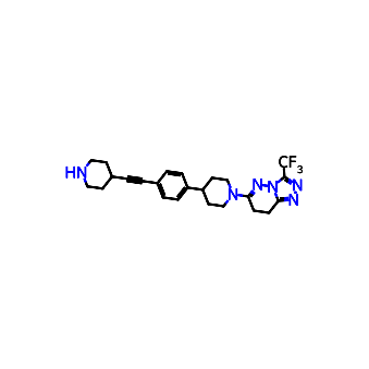 FC(F)(F)c1nnc2n1N=C(N1CCC(c3ccc(C#CC4CCNCC4)cc3)CC1)CC2